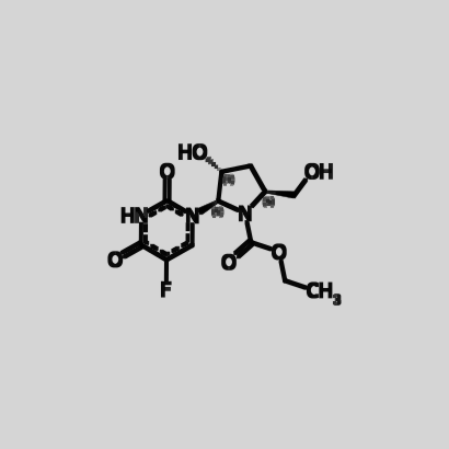 CCOC(=O)N1[C@H](CO)C[C@@H](O)[C@@H]1n1cc(F)c(=O)[nH]c1=O